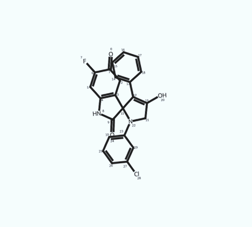 O=C1CC2=C(C=C1F)NC(=O)C21C(c2ccccc2)=C(O)CN1c1cccc(Cl)c1